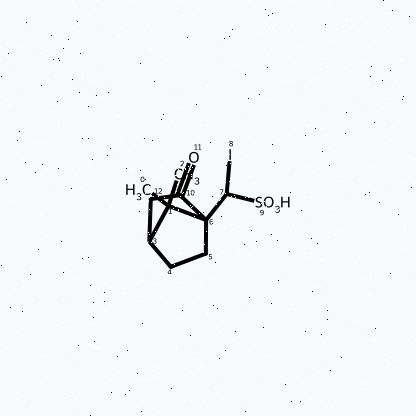 CC1(C)C2CCC1(C(I)S(=O)(=O)O)C(=O)C2